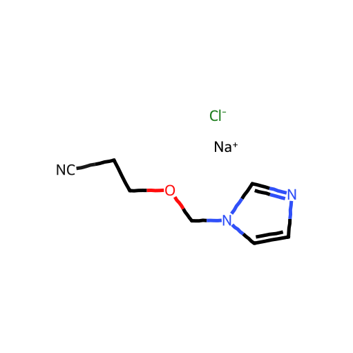 N#CCCOCn1ccnc1.[Cl-].[Na+]